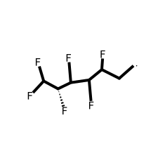 [CH2]CC(F)C(F)C(F)[C@H](F)C(F)F